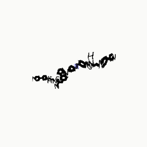 N#CC(=Cc1ccc2c(c1)C1CCCC1N2c1ccc(/C=C/c2ccc(CONCCC[n+]3ccc(-c4ccncc4)cc3)cc2)cc1)C(=O)NCCC[n+]1ccc(-c2ccncc2)cc1